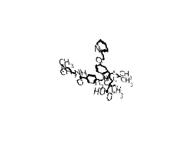 CN(C)CCNC(=O)c1ccc(Cn2c(CC(C)(C)C(=O)O)c(SC(C)(C)C)c3cc(OCc4ccccn4)ccc32)cc1